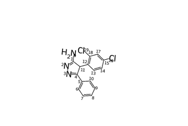 NC1=NN=C(c2ccccc2)C1c1ccc(Cl)cc1Cl